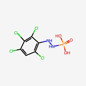 O=P(O)(O)NNc1c(Cl)cc(Cl)c(Cl)c1Cl